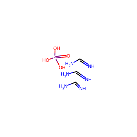 N=CN.N=CN.N=CN.O=P(O)(O)O